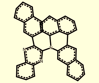 c1ccc2cc(-c3nc4ccccc4nc3N3c4cc5ccccc5cc4-c4cccc5cccc3c45)ccc2c1